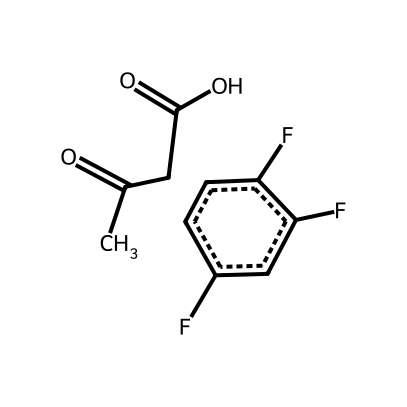 CC(=O)CC(=O)O.Fc1ccc(F)c(F)c1